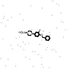 CCCCCCCCN1CCN(c2ccc(OCc3ccccc3)c(F)c2)CC1